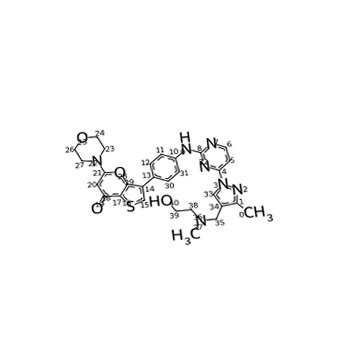 Cc1nn(-c2ccnc(Nc3ccc(-c4csc5c(=O)cc(N6CCOCC6)oc45)cc3)n2)cc1CN(C)CCO